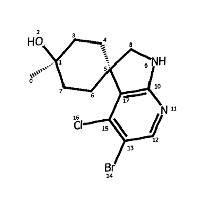 C[C@]1(O)CC[C@]2(CC1)CNc1ncc(Br)c(Cl)c12